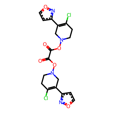 O=C(ON1CCC(Cl)=C(c2ccon2)C1)C(=O)ON1CCC(Cl)=C(c2ccon2)C1